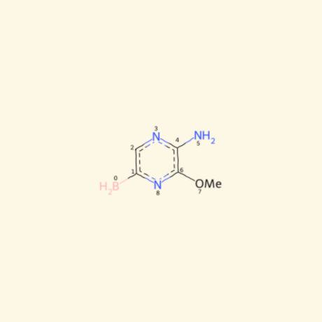 Bc1cnc(N)c(OC)n1